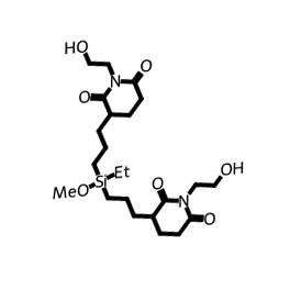 CC[Si](CCCC1CCC(=O)N(CCO)C1=O)(CCCC1CCC(=O)N(CCO)C1=O)OC